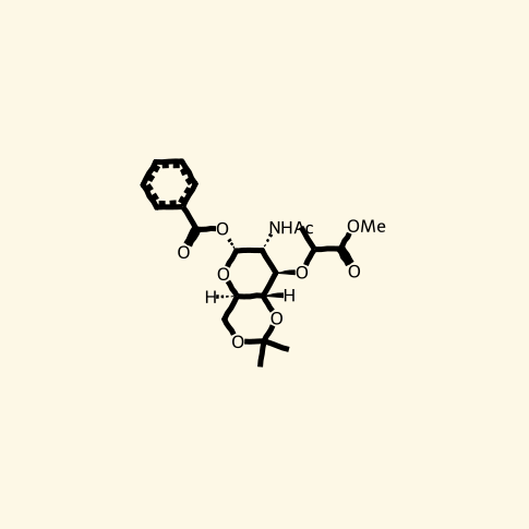 COC(=O)C(C)O[C@@H]1[C@@H](NC(C)=O)[C@@H](OC(=O)c2ccccc2)O[C@@H]2COC(C)(C)O[C@@H]12